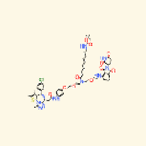 CC1=C(C)C2C(c3ccc(Cl)cc3)=N[C@@H](CC(=O)Nc3ccc(OCCOCCN(CCOCCNc4cccc5c4C(=O)N(C4CCC(=O)NC4=O)C5=O)C(=O)CCCCCCCCCNC(=O)OC(C)(C)C)cc3)c3nnc(C)n3C2S1